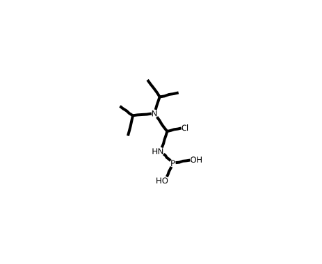 CC(C)N(C(C)C)C(Cl)NP(O)O